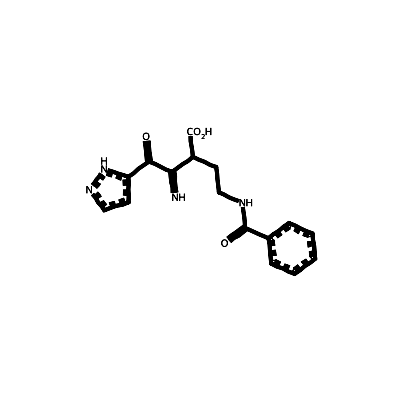 N=C(C(=O)c1ccn[nH]1)C(CCNC(=O)c1ccccc1)C(=O)O